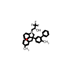 Cc1cccc(CC2(c3ccc(C)c(-c4ccccc4)c3)CN(C[C@@H](O)C(F)(F)F)c3ccccc32)c1